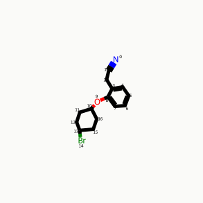 N#CCc1ccccc1OC1CCC(Br)CC1